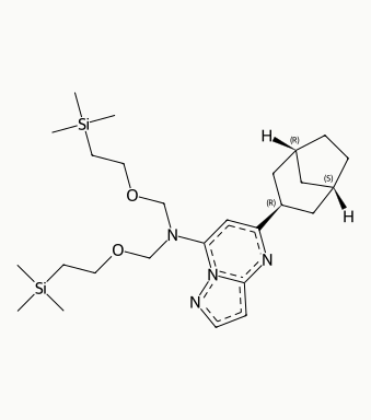 C[Si](C)(C)CCOCN(COCC[Si](C)(C)C)c1cc([C@H]2C[C@@H]3CC[C@@H](C3)C2)nc2ccnn12